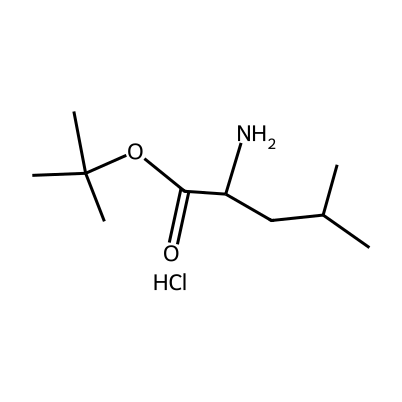 CC(C)CC(N)C(=O)OC(C)(C)C.Cl